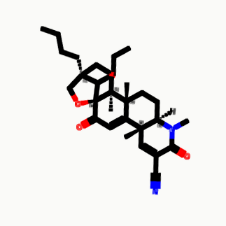 CCCC[C@@]12CC[C@@]3(C)[C@]4(C)CC[C@H]5N(C)C(=O)C(C#N)=C[C@]5(C)C4=CC(=O)[C@]3(OC1)C2CCC